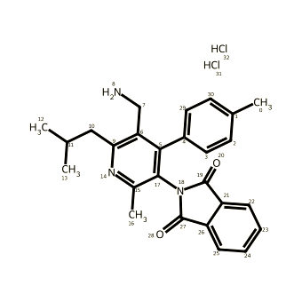 Cc1ccc(-c2c(CN)c(CC(C)C)nc(C)c2N2C(=O)c3ccccc3C2=O)cc1.Cl.Cl